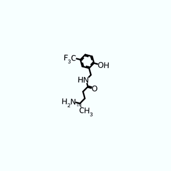 C[C@H](N)CCC(=O)NCc1cc(C(F)(F)F)ccc1O